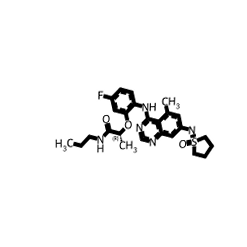 CCCNC(=O)[C@@H](C)Oc1cc(F)ccc1Nc1ncnc2cc(N=S3(=O)CCCC3)cc(C)c12